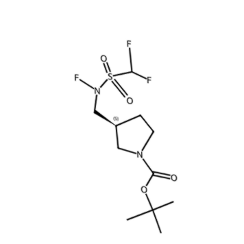 CC(C)(C)OC(=O)N1CC[C@H](CN(F)S(=O)(=O)C(F)F)C1